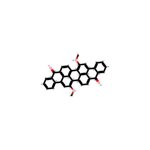 COc1cc2c3c(ccc4c5c(OC)cc6c7c(ccc(c1c34)c75)C(=O)c1ccccc1-6)C(=O)c1ccccc1-2